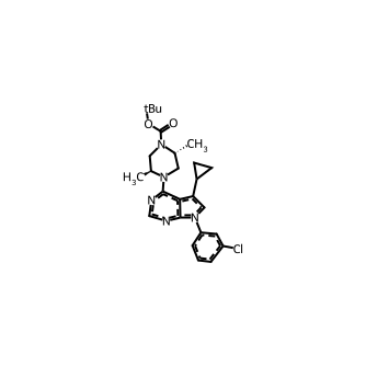 C[C@@H]1CN(c2ncnc3c2c(C2CC2)cn3-c2cccc(Cl)c2)[C@@H](C)CN1C(=O)OC(C)(C)C